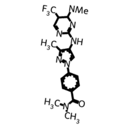 CNC1N=C(Nc2cn(-c3ccc(C(=O)N(C)C)cc3)nc2C)N=CC1C(F)(F)F